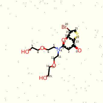 O=c1cc(N(CCOCCO)CCOCCO)oc2c(Br)csc12